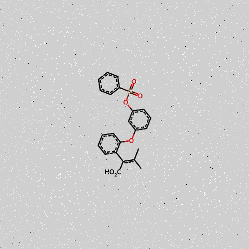 CC(C)=C(C(=O)O)c1ccccc1Oc1cccc(OS(=O)(=O)c2ccccc2)c1